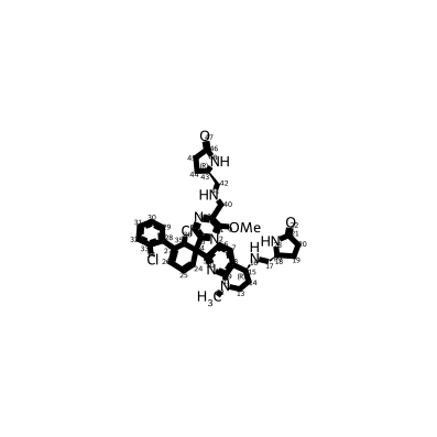 COc1nc(C2(c3ccc4c(n3)N(C)CC[C@H]4NC[C@H]3CCC(=O)N3)C=CC=C(c3ccccc3Cl)C2Cl)cnc1CNC[C@H]1CCC(=O)N1